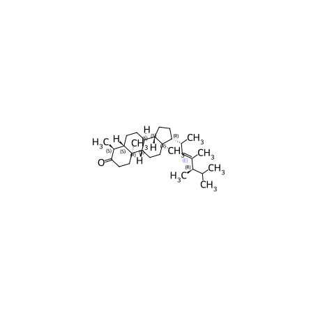 C/C(=C\C(C)[C@H]1CC[C@H]2[C@@H]3CC[C@H]4[C@H](C)C(=O)CC[C@]4(C)[C@H]3CC[C@]12C)[C@H](C)C(C)C